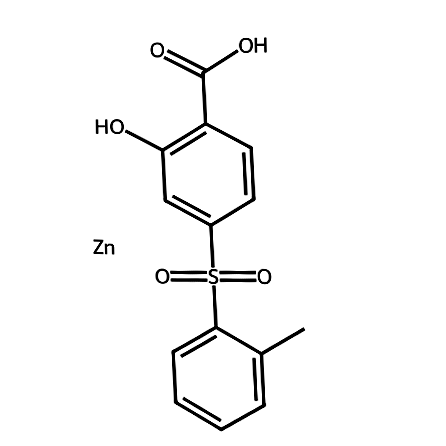 Cc1ccccc1S(=O)(=O)c1ccc(C(=O)O)c(O)c1.[Zn]